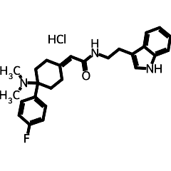 CN(C)C1(c2ccc(F)cc2)CCC(=CC(=O)NCCc2c[nH]c3ccccc23)CC1.Cl